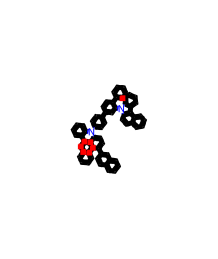 C1=CC(c2ccccc2)C(n2c3ccccc3c3c4ccccc4ccc32)C=C1c1ccc(N(c2ccccc2-c2ccc3ccccc3c2)c2ccc(-c3ccc4ccccc4c3)c3ccccc23)cc1